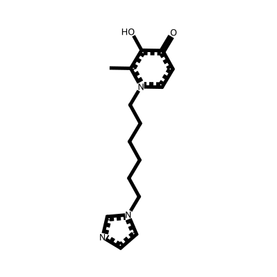 Cc1c(O)c(=O)ccn1CCCCCCn1ccnc1